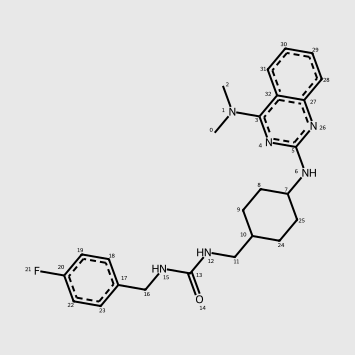 CN(C)c1nc(NC2CCC(CNC(=O)NCc3ccc(F)cc3)CC2)nc2ccccc12